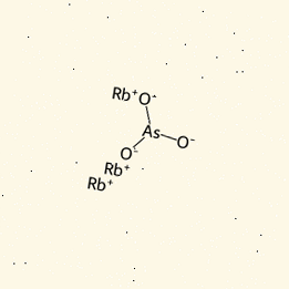 [O-][As]([O-])[O-].[Rb+].[Rb+].[Rb+]